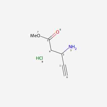 C#CC(N)CC(=O)OC.Cl